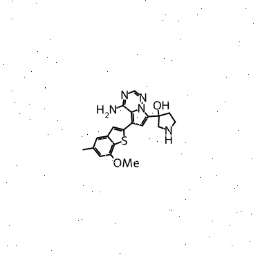 COc1cc(C)cc2cc(-c3cc(C4(O)CCNC4)n4ncnc(N)c34)sc12